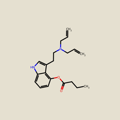 C=CCN(CC=C)CCc1c[nH]c2cccc(OC(=O)CCC)c12